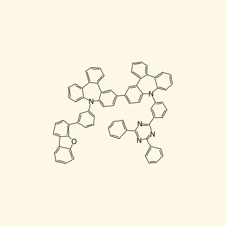 c1ccc(-c2nc(-c3ccccc3)nc(-c3cccc(N4c5ccccc5-c5ccccc5-c5cc(-c6ccc7c(c6)-c6ccccc6-c6ccccc6N7c6cccc(-c7cccc8c7oc7ccccc78)c6)ccc54)c3)n2)cc1